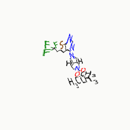 CC(C)(C)OC(=O)N1CC[C@H]2CN(c3ncnc4sc(CC(F)(F)F)cc34)C[C@H]2C1